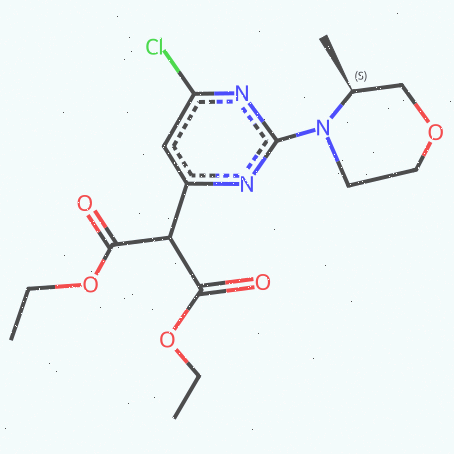 CCOC(=O)C(C(=O)OCC)c1cc(Cl)nc(N2CCOC[C@@H]2C)n1